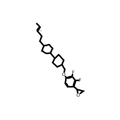 C/C=C/CCC1CCC(C2CCC(COc3ccc(C4CO4)c(F)c3F)CC2)CC1